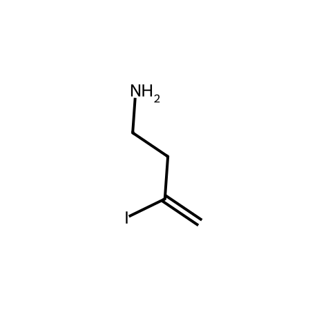 C=C(I)CCN